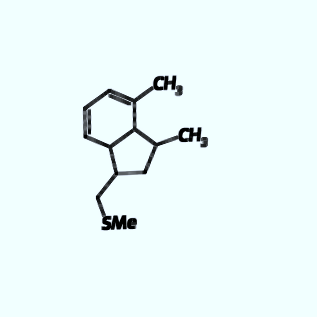 CSCC1CC(C)C2C(C)=CC=CC12